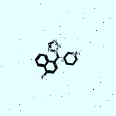 Fc1ccc(C([C@H]2CCCNC2)n2ncnn2)c2ccccc12